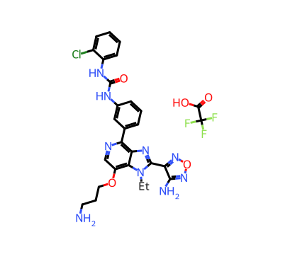 CCn1c(-c2nonc2N)nc2c(-c3cccc(NC(=O)Nc4ccccc4Cl)c3)ncc(OCCCN)c21.O=C(O)C(F)(F)F